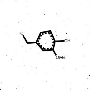 COc1cc(C[O])ccc1O